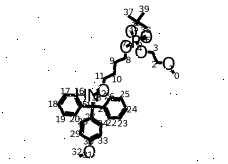 COCCOP(=O)(OCCCCONC(c1ccccc1)(c1ccccc1)c1ccc(OC)cc1)OC(C)(C)C